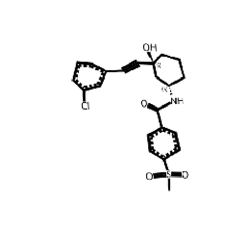 CS(=O)(=O)c1ccc(C(=O)N[C@H]2CCC[C@@](O)(C#Cc3cccc(Cl)c3)C2)cc1